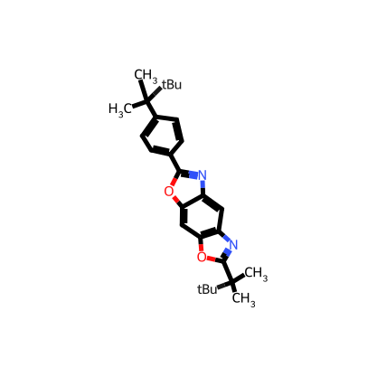 CC(C)(C)C(C)(C)c1ccc(-c2nc3cc4nc(C(C)(C)C(C)(C)C)oc4cc3o2)cc1